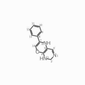 C1=NCNC2=C1NC(c1ccccc1)=CO2